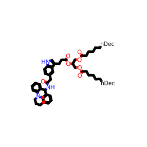 CCCCCCCCCCCCCCCC(=O)OCC(COC(=O)CCCCCCCCCCCCCCC)OC(=O)CCc1c[nH]c2ccc(CC(=O)NC(c3ccccc3)c3ccccc3N3CCCCC3)cc12